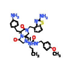 C=CCN(C(=O)NCc1ccc(OC)cc1)N1CC(=O)N2[C@@H](Cc3ccc(N)cc3)C(=O)N(Cc3cccc4sc(N)nc34)C[C@@H]21